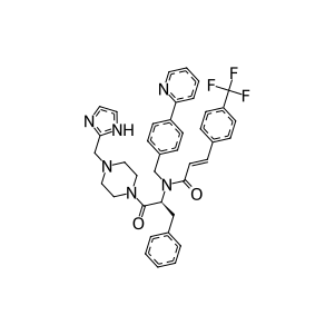 O=C([C@H](Cc1ccccc1)N(Cc1ccc(-c2ccccn2)cc1)C(=O)/C=C/c1ccc(C(F)(F)F)cc1)N1CCN(Cc2ncc[nH]2)CC1